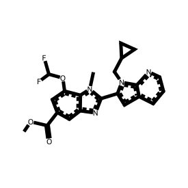 COC(=O)c1cc(OC(F)F)c2c(c1)nc(-c1cc3cccnc3n1CC1CC1)n2C